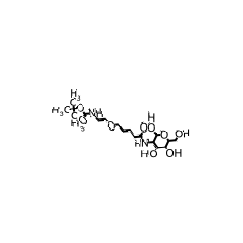 CC(C)(C)OC(=O)NCCOCCCCC(=O)NC1C(O)OC(CO)[C@@H](O)[C@@H]1O